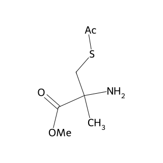 COC(=O)C(C)(N)CSC(C)=O